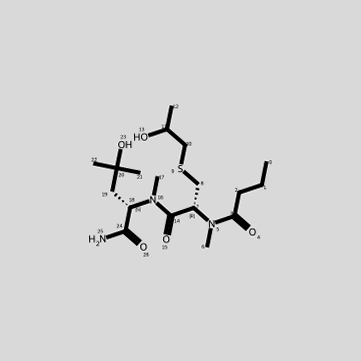 CCCC(=O)N(C)[C@@H](CSCC(C)O)C(=O)N(C)[C@@H](CC(C)(C)O)C(N)=O